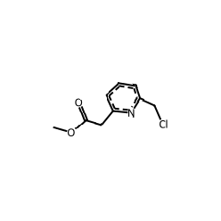 COC(=O)Cc1cccc(CCl)n1